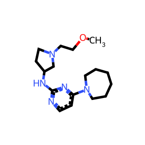 COCCN1CCC(Nc2nccc(N3CCCCCC3)n2)C1